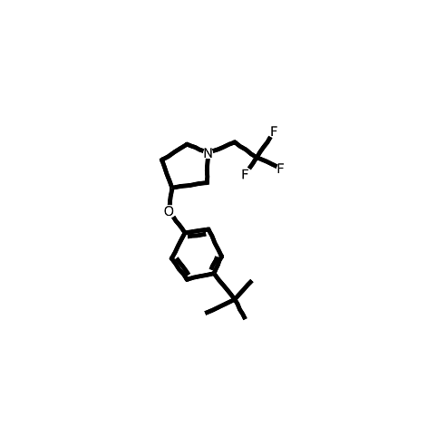 CC(C)(C)c1ccc(OC2CCN(CC(F)(F)F)C2)cc1